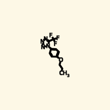 CCCOc1ccc(-n2nnnc2C(F)(F)F)cc1